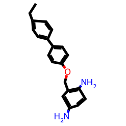 CCc1ccc(-c2ccc(OCc3cc(N)ccc3N)cc2)cc1